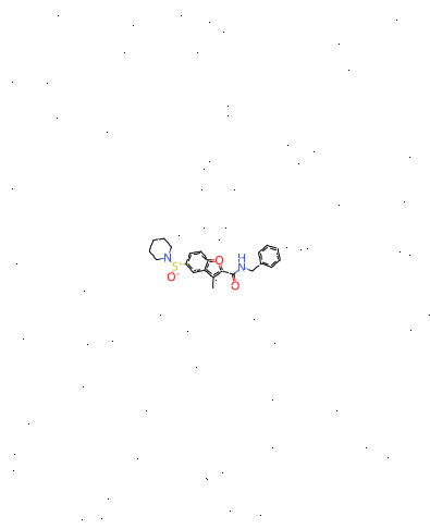 Cc1c(C(=O)NCc2ccccc2)oc2ccc([S+]([O-])N3CCCCC3)cc12